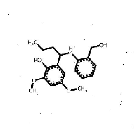 CCCC(Pc1ccccc1CO)c1cc(OC)cc(OC)c1O